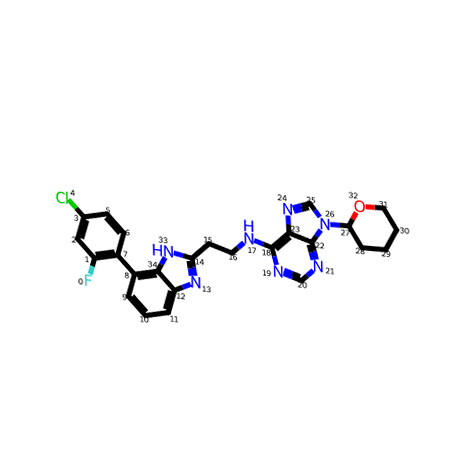 Fc1cc(Cl)ccc1-c1cccc2nc(CCNc3ncnc4c3ncn4C3CCCCO3)[nH]c12